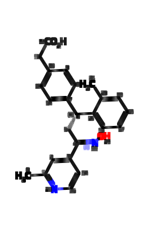 Cc1cc(/C(C[C@H](c2ccc(CC(=O)O)cc2)c2ccccc2C)=N/O)ccn1